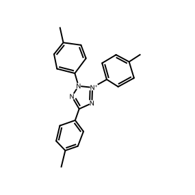 Cc1ccc(-c2nn(-c3ccc(C)cc3)[n+](-c3ccc(C)cc3)n2)cc1